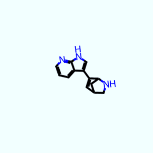 C1=C(c2c[nH]c3ncccc23)C2CC1CN2